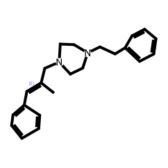 C/C(=C\c1ccccc1)CN1CCN(CCc2ccccc2)CC1